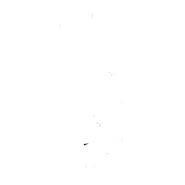 CC(C)(C)[S@@+]([O-])/N=C/c1cc2cc(Cl)c(F)cc2[nH]c1=O